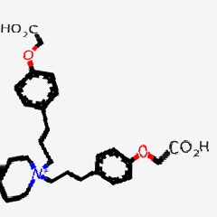 O=C(O)COc1ccc(CCC[N+]2(CCCc3ccc(OCC(=O)O)cc3)CCCCC2)cc1